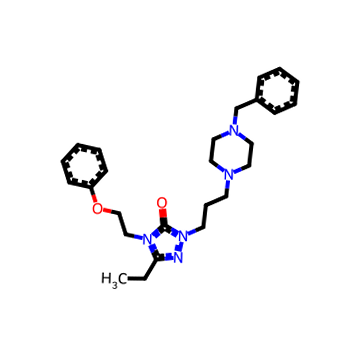 CCc1nn(CCCN2CCN(Cc3ccccc3)CC2)c(=O)n1CCOc1ccccc1